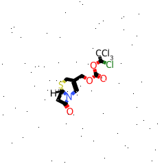 O=C(OCC1=CN2C(=O)C[C@@H]2SC1)OC(Cl)C(Cl)(Cl)Cl